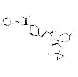 Cc1sc(-n2cncn2)nc1-c1ccc2cc(C(=O)NC3(C(=O)NC4(C#N)CC4)CCC(F)(F)CC3)oc2c1